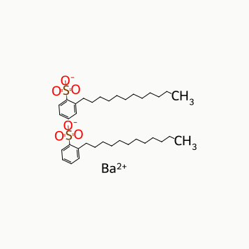 CCCCCCCCCCCCc1ccccc1S(=O)(=O)[O-].CCCCCCCCCCCCc1ccccc1S(=O)(=O)[O-].[Ba+2]